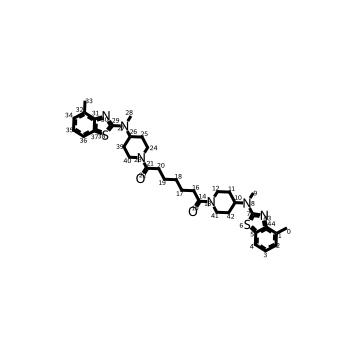 Cc1cccc2sc(N(C)C3CCN(C(=O)CCCCCC(=O)N4CCC(N(C)c5nc6c(C)cccc6s5)CC4)CC3)nc12